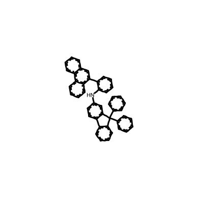 c1ccc(C2(c3ccccc3)c3ccccc3-c3ccc(Nc4ccccc4-c4cc5ccccc5c5ccccc45)cc32)cc1